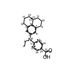 CCN(c1cc2c3c(c1)CCCC3(C)CCC2)c1ncc(C(=O)O)cn1